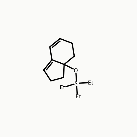 CC[Si](CC)(CC)OC12CCC=CC1=CCC2